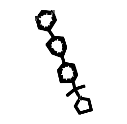 CC(C)(c1ccc(-c2ccc(-c3cncnc3)cc2)cc1)N1CCCC1